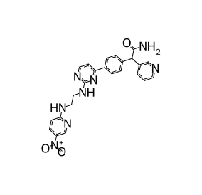 NC(=O)C(c1ccc(-c2ccnc(NCCNc3ccc([N+](=O)[O-])cn3)n2)cc1)c1cccnc1